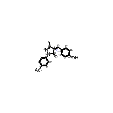 CC(=O)c1ccc(N2N=C(C)/C(=C/c3ccc(O)cc3)C2=O)cc1